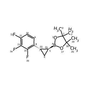 CC1(C)OB([C@H]2C[C@@H]2c2ccc(F)c(F)c2F)OC1(C)C